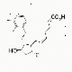 Cc1cccc(CC[C@@H]2[C@@H](C/C=C\CCCC(=O)O)[C@H](Cl)C[C@H]2O)c1C